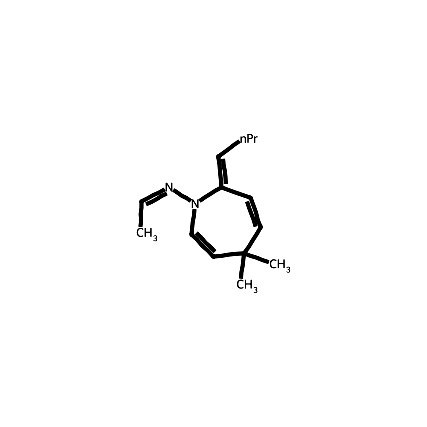 C/C=N\N1C=CC(C)(C)C=C/C1=C\CCC